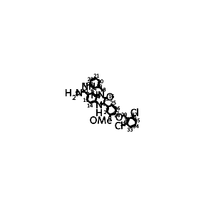 COc1cc(C(Nc2ccc(C(=N)N)cc2)C(=O)NCc2ccccc2)ccc1OCc1c(Cl)cccc1Cl